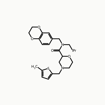 Cc1ccc(CN2CCOC(C(=O)N(Cc3ccc4c(c3)OCCO4)CC(C)C)C2)s1